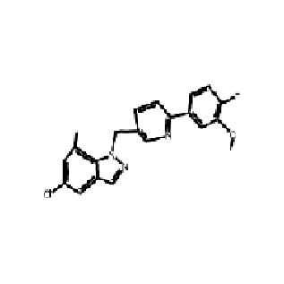 COc1cc(-c2ccc(Cn3ncc4cc(Cl)cc(C)c43)cn2)ccc1F